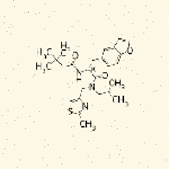 Cc1nc(CN(CC(C)C)C(=O)[C@@H](Cc2ccc3occc3c2)NC(=O)CC(C)(C)C)cs1